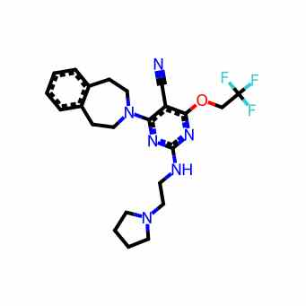 N#Cc1c(OCC(F)(F)F)nc(NCCN2CCCC2)nc1N1CCc2ccccc2CC1